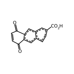 O=C(O)c1ccc2cc3c(cc2c1)C(=O)C=CC3=O